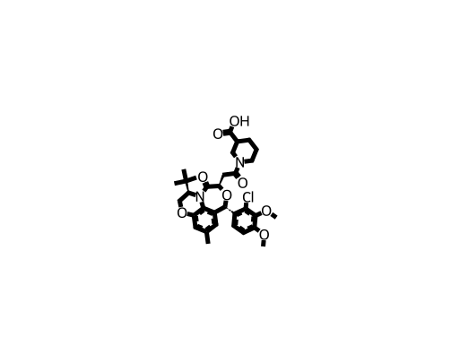 COc1ccc([C@H]2O[C@H](CC(=O)N3CCCC(C(=O)O)C3)C(=O)N3c4c(cc(C)cc42)OC[C@H]3C(C)(C)C)c(Cl)c1OC